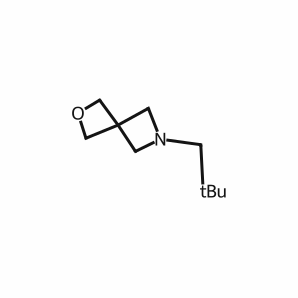 CC(C)(C)CN1CC2(COC2)C1